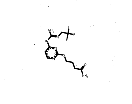 NC(=O)CCCSc1nccc(NC(N)=NCC(F)(F)F)n1